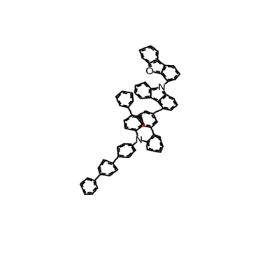 c1ccc(-c2ccc(-c3ccc(N(c4ccc(-c5ccccc5)cc4)c4ccccc4-c4cccc(-c5cccc6c5c5ccccc5n6-c5cccc6c5oc5ccccc56)c4)cc3)cc2)cc1